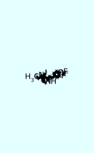 CCc1nc(I)c2n1CCNC2CCc1ccc(OC(F)F)cc1